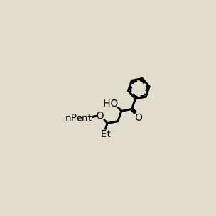 CCCCCOC(CC)CC(O)C(=O)c1ccccc1